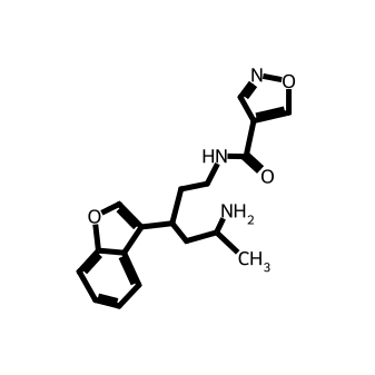 CC(N)CC(CCNC(=O)c1cnoc1)c1coc2ccccc12